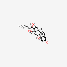 CC1C[C@H]2[C@@H]3CCC4=CC(=O)C=C[C@]4(C)[C@]34OC4C[C@]2(C)[C@@]1(O)C(=O)CCC(=O)O